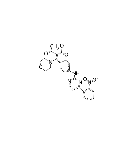 CC(=O)c1c(N2CCOCC2)c2ccc(Nc3nccc(-c4ccccc4[N+](=O)[O-])n3)cc2oc1=O